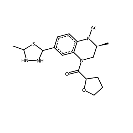 CC(=O)N1c2ccc(C3NNC(C)S3)cc2N(C(=O)C2CCCO2)C[C@@H]1C